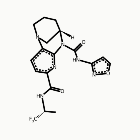 C[C@@H](NC(=O)c1ccc2c(n1)N(C(=O)Nc1ccon1)[C@H]1CCCN2C1)C(F)(F)F